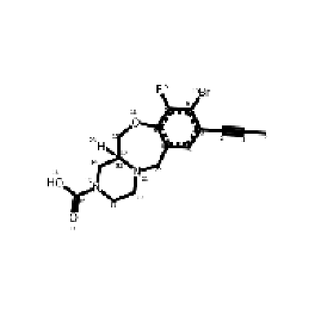 CC#Cc1cc2c(c(F)c1Br)OC[C@H]1CN(C(=O)O)CCN1C2